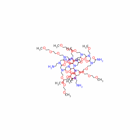 COCCOCCOCCN(CC(N)=O)C(=O)CN(CCOC)C(=O)CN(CCOCCOCCOC)C(=O)CN(CCN)C(=O)CN(CCOCCOCCOC)C(=O)CN(CCOC)C(=O)CN(CCOCCOCCOC)C(=O)CN(CCN)C(=O)CN(CCOCCOCCOC)C(=O)CN(CCOC)C(=O)CN(CCOCCOCCOC)C(=O)CN(CCN)C(C)=O